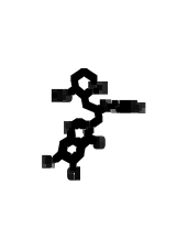 CC(=O)N/N=C(/CC1NCCCC1O)Cn1cnc2cc(Br)c(Cl)cc2c1=O